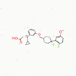 COc1ccc(F)c(C2(F)CCC(COc3cccc([C@@H](CC(=O)O)C4CC4)c3)CC2)c1